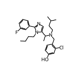 CCCCn1c(C(C)N(CCC(C)C)Cc2ccc(O)cc2Cl)cnc1-c1cccc(F)c1